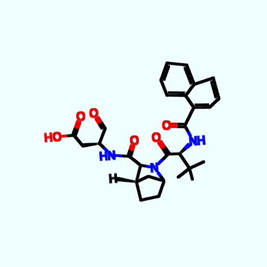 CC(C)(C)[C@H](NC(=O)c1cccc2ccccc12)C(=O)N1C2CC[C@@H](C2)C1C(=O)N[C@H](C=O)CC(=O)O